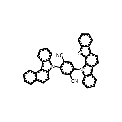 N#Cc1cc(-n2c3ccccc3c3ccc4c5ccccc5sc4c32)c(C#N)cc1-n1c2ccccc2c2c3ccccc3ccc21